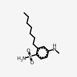 CCCCCCCc1cc(NC)ccc1S(N)(=O)=O